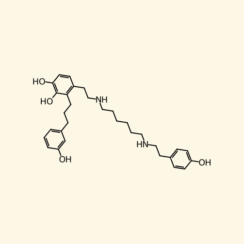 Oc1ccc(CCNCCCCCCNCCc2ccc(O)c(O)c2CCCc2cccc(O)c2)cc1